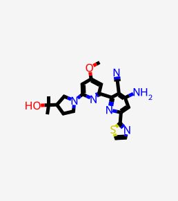 COc1cc(-c2nc(-c3nccs3)cc(N)c2C#N)nc(N2CCC(C(C)(C)O)C2)c1